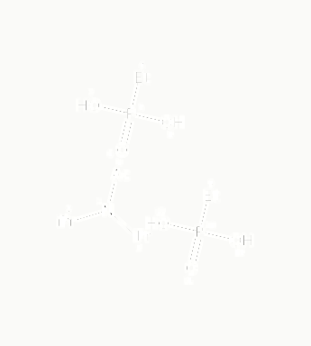 CC(=O)N(C(C)C)C(C)C.CCP(=O)(O)O.CCP(=O)(O)O